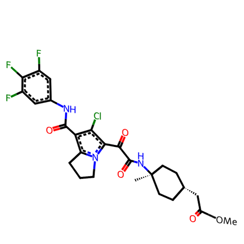 COC(=O)C[C@H]1CC[C@](C)(NC(=O)C(=O)c2c(Cl)c(C(=O)Nc3cc(F)c(F)c(F)c3)c3n2CCC3)CC1